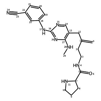 C=C(CCNC(=O)C1CCCN1)Cc1cnc(Nc2cccc(C#N)c2)nc1NC